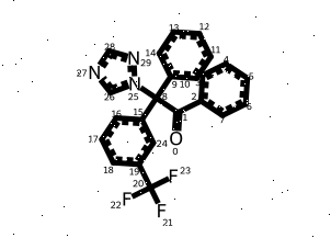 O=C(c1ccccc1)C(c1ccccc1)(c1cccc(C(F)(F)F)c1)n1cncn1